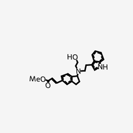 COC(=O)/C=C/c1ccc2c(c1)CCC2N(CCO)CCc1c[nH]c2ccccc12